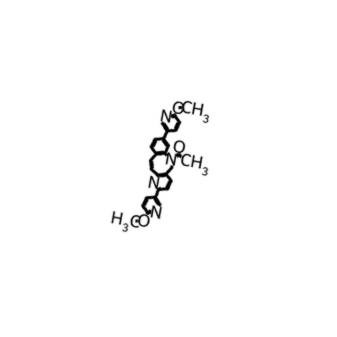 COc1ccc(-c2ccc3c(c2)N(C(C)=O)Cc2ccc(-c4ccc(OC)nc4)nc2C=C3)cn1